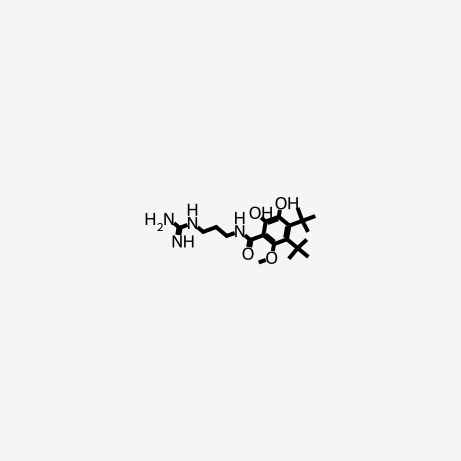 COc1c(C(=O)NCCCNC(=N)N)c(O)c(O)c(C(C)(C)C)c1C(C)(C)C